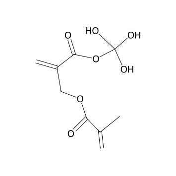 C=C(C)C(=O)OCC(=C)C(=O)OC(O)(O)O